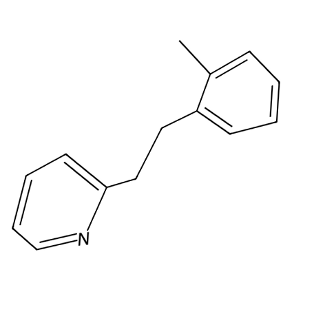 Cc1ccccc1CCc1ccccn1